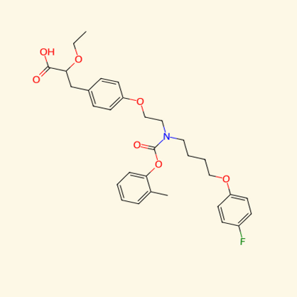 CCOC(Cc1ccc(OCCN(CCCCOc2ccc(F)cc2)C(=O)Oc2ccccc2C)cc1)C(=O)O